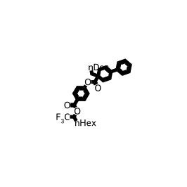 CCCCCCCCCCCC1(C(=O)Oc2ccc(C(=O)OC(CCCCCC)C(F)(F)F)cc2)C=CC(c2ccccc2)=CC1